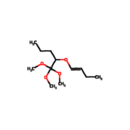 CCC=COC(CCC)[Si](OC)(OC)OC